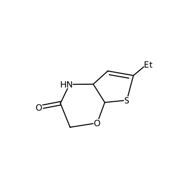 CCC1=CC2NC(=O)COC2S1